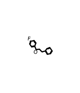 O=C(CCc1ccccc1)c1ccc(F)cc1